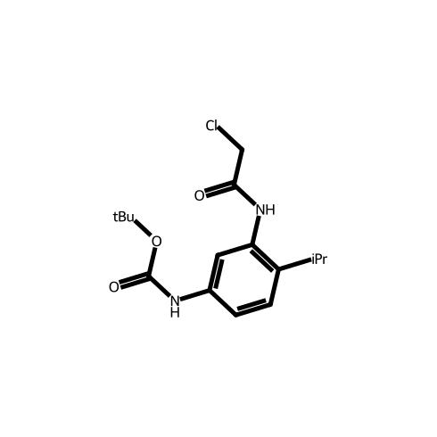 CC(C)c1ccc(NC(=O)OC(C)(C)C)cc1NC(=O)CCl